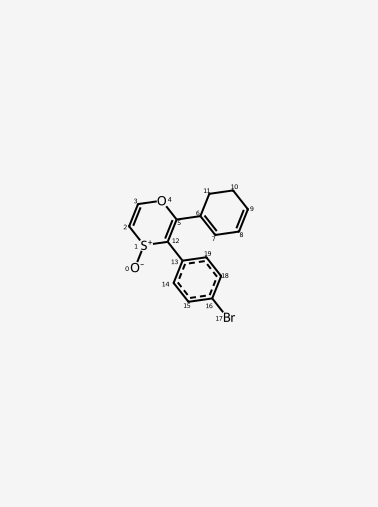 [O-][S+]1C=COC(C2=CC=CCC2)=C1c1ccc(Br)cc1